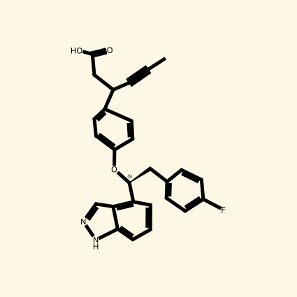 CC#CC(CC(=O)O)c1ccc(O[C@@H](Cc2ccc(F)cc2)c2cccc3[nH]ncc23)cc1